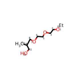 CCOCCOCCOCC(C)CO